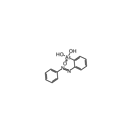 O=[As](O)(O)c1ccccc1N=Nc1ccccc1